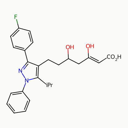 CC(C)c1c(CCC(O)C/C(O)=C/C(=O)O)c(-c2ccc(F)cc2)nn1-c1ccccc1